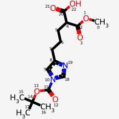 COC(=O)C(CCCc1cn(C(=O)OC(C)(C)C)cn1)C(=O)O